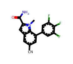 Cn1c(C(N)=O)cc2cc(C#N)cc(-c3cc(F)c(F)c(F)c3)c21